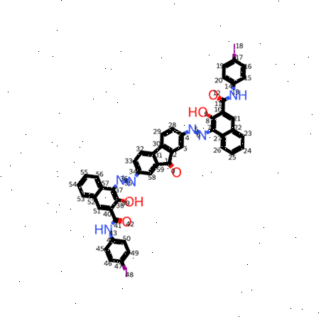 O=C1c2cc(N=Nc3c(O)c(C(=O)Nc4ccc(I)cc4)cc4ccccc34)ccc2-c2ccc(N=Nc3c(O)c(C(=O)Nc4ccc(I)cc4)cc4ccccc34)cc21